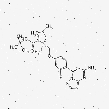 CC(C)C[C@@](C)(COc1ccc(-c2cc(N)nc3ccnn23)c(F)c1)NC(=O)OC(C)(C)C